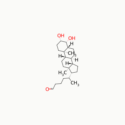 CC(CCCC=O)[C@H]1CC[C@H]2[C@@H]3CC[C@H]4[C@@H](O)[C@@H](O)CC[C@]4(C)[C@H]3CC[C@]12C